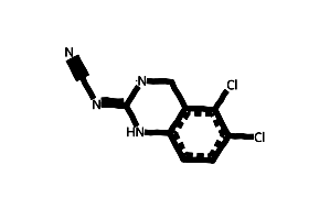 N#CN=C1[N]Cc2c(ccc(Cl)c2Cl)N1